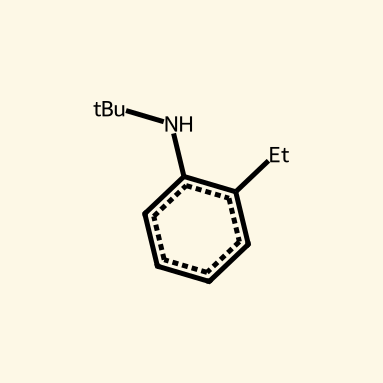 CCc1ccccc1NC(C)(C)C